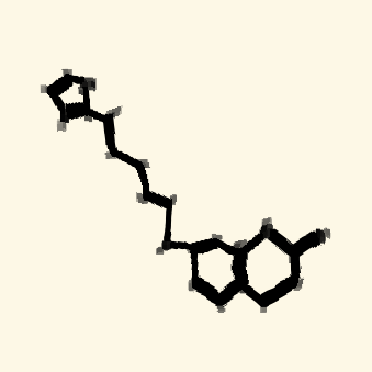 O=c1ccc2ccc(OCCCCCc3ncc[nH]3)cc2o1